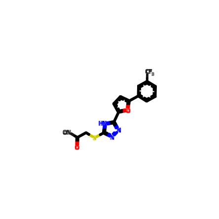 O=NC(=O)CSc1nnc(-c2ccc(-c3cccc(C(F)(F)F)c3)o2)[nH]1